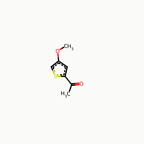 COc1csc(C(C)=O)c1